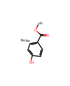 CCCOC(=O)c1ccc(O)cc1.[Na].[Na]